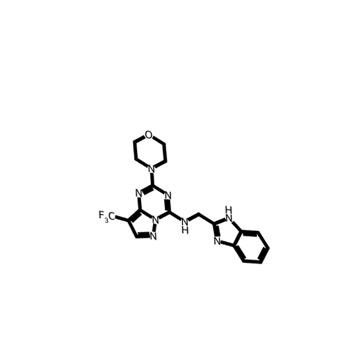 FC(F)(F)c1cnn2c(NCc3nc4ccccc4[nH]3)nc(N3CCOCC3)nc12